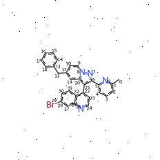 Cc1cccc(-c2nn3ccc(Cc4ccccc4)cc3c2-c2ccnc3cc(Br)ccc23)n1